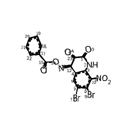 O=C1Nc2c(cc(Br)c(Br)c2[N+](=O)[O-])C(=NOC(=O)c2ccccc2)C1=O